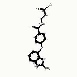 Nc1nc2c(Oc3ccc(C(=O)NCCC(=O)O)cc3)cccc2[nH]1